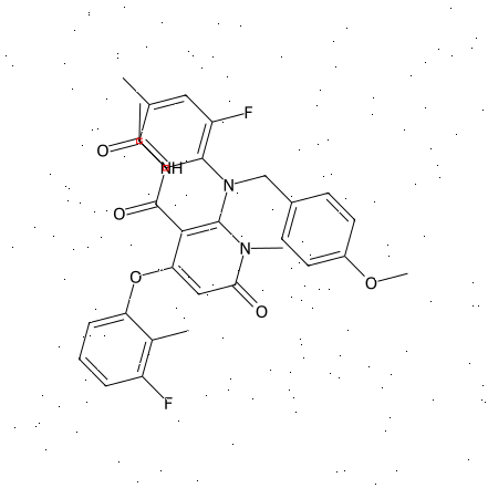 COc1ccc(CN(c2ccc(C)cc2F)c2c(C(=O)NC(C)=O)c(Oc3cccc(F)c3C)cc(=O)n2C)cc1